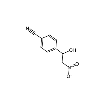 N#Cc1ccc(C(O)C[N+](=O)[O-])cc1